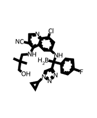 BC(Nc1cc(Cl)c2ncc(C#N)c(NCC(C)(C)CO)c2c1)(c1ccc(F)cc1)c1cn(C2CC2)nn1